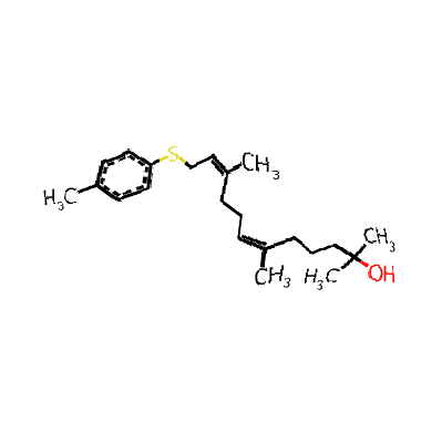 CC(=CCSc1ccc(C)cc1)CCC=C(C)CCCC(C)(C)O